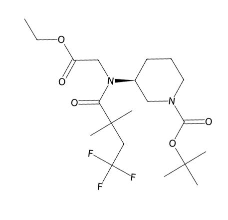 CCOC(=O)CN(C(=O)C(C)(C)CC(F)(F)F)[C@H]1CCCN(C(=O)OC(C)(C)C)C1